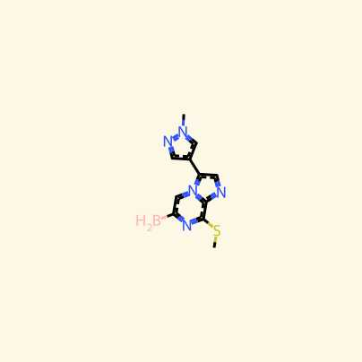 Bc1cn2c(-c3cnn(C)c3)cnc2c(SC)n1